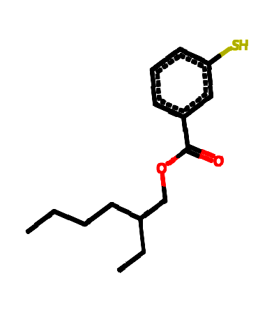 CCCCC(CC)COC(=O)c1cccc(S)c1